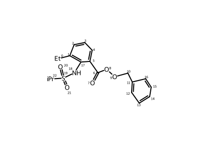 CCc1cccc(C(=O)OOCc2ccccc2)c1NS(=O)(=O)C(C)C